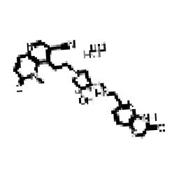 Cl.Cl.Cn1c(=O)ccc2ncc(C#N)c(CCN3C[C@H](CNCc4ccc5c(n4)NC(=O)CS5)[C@H](O)C3)c21